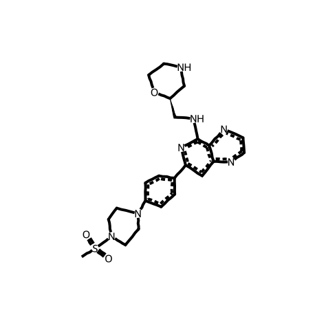 CS(=O)(=O)N1CCN(c2ccc(-c3cc4nccnc4c(NC[C@@H]4CNCCO4)n3)cc2)CC1